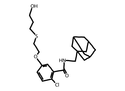 O=C(NCC12CC3CC(CC(C3)C1)C2)c1cc(OCCSCCCO)ccc1Cl